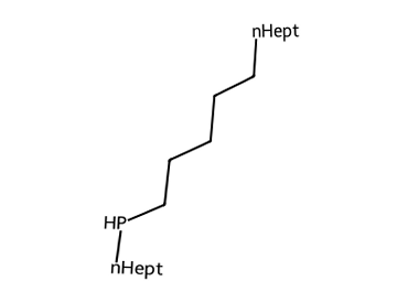 CCCCCCCCCCCCPCCCCCCC